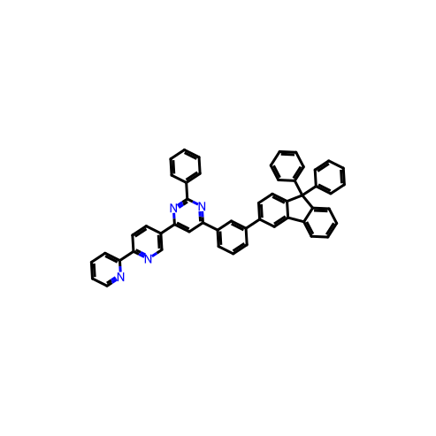 c1ccc(-c2nc(-c3ccc(-c4ccccn4)nc3)cc(-c3cccc(-c4ccc5c(c4)-c4ccccc4C5(c4ccccc4)c4ccccc4)c3)n2)cc1